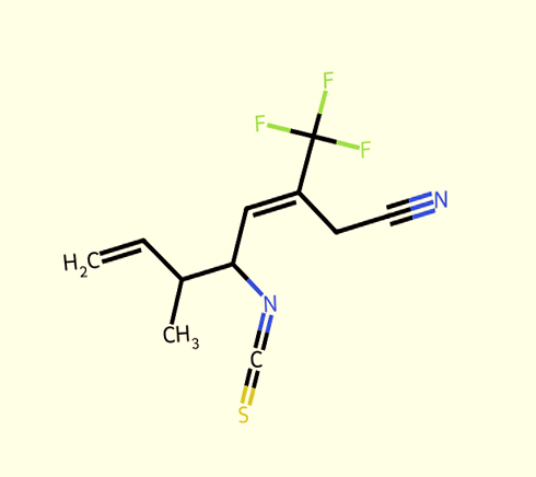 C=CC(C)C(/C=C(\CC#N)C(F)(F)F)N=C=S